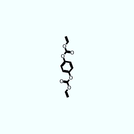 C=COC(=O)Oc1ccc(OC(=O)OC=C)cc1